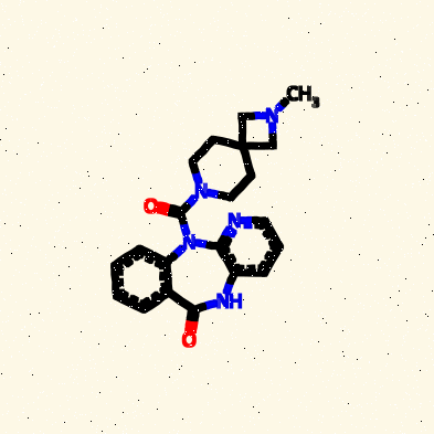 CN1CC2(CCN(C(=O)N3c4ccccc4C(=O)Nc4cccnc43)CC2)C1